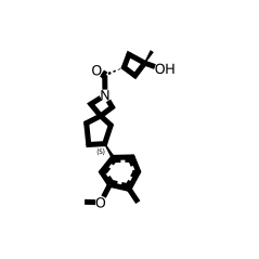 COc1cc([C@H]2CCC3(C2)CN(C(=O)[C@H]2C[C@@](C)(O)C2)C3)ccc1C